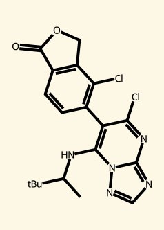 CC(Nc1c(-c2ccc3c(c2Cl)COC3=O)c(Cl)nc2ncnn12)C(C)(C)C